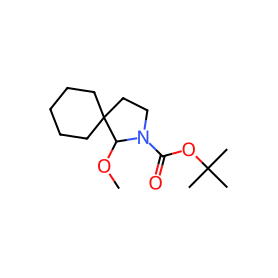 COC1N(C(=O)OC(C)(C)C)CCC12CCCCC2